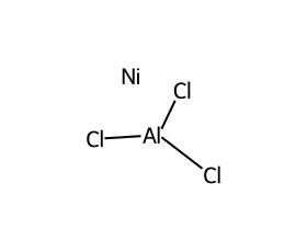 [Cl][Al]([Cl])[Cl].[Ni]